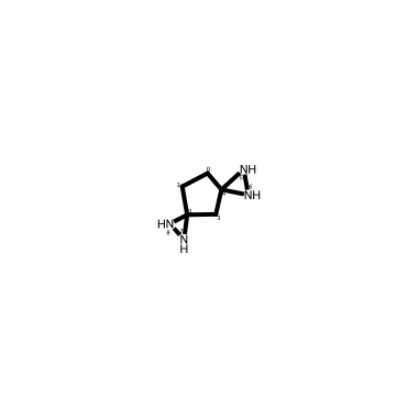 C1CC2(CC13NN3)NN2